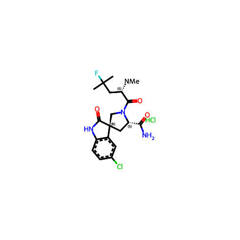 CN[C@@H](CC(C)(C)F)C(=O)N1C[C@]2(C[C@H]1C(N)=O)C(=O)Nc1ccc(Cl)cc12.Cl